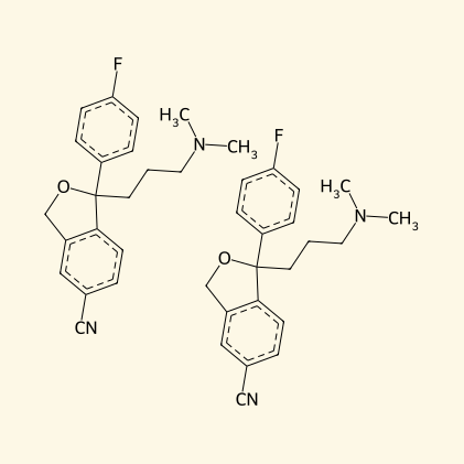 CN(C)CCCC1(c2ccc(F)cc2)OCc2cc(C#N)ccc21.CN(C)CCCC1(c2ccc(F)cc2)OCc2cc(C#N)ccc21